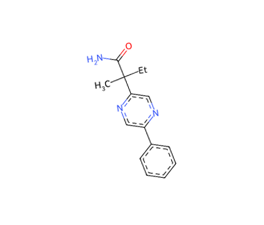 CCC(C)(C(N)=O)c1cnc(-c2ccccc2)cn1